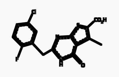 Cc1c(C(=O)O)sc2nc(Cc3cc(Cl)ccc3F)[nH]c(=O)c12